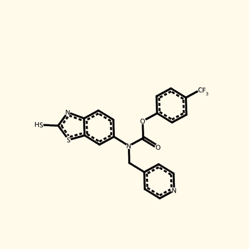 O=C(Oc1ccc(C(F)(F)F)cc1)N(Cc1ccncc1)c1ccc2nc(S)sc2c1